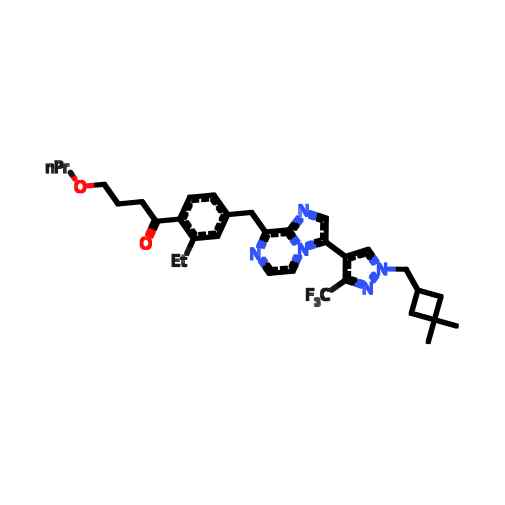 CCCOCCCC(=O)c1ccc(Cc2nccn3c(-c4cn(CC5CC(C)(C)C5)nc4C(F)(F)F)cnc23)cc1CC